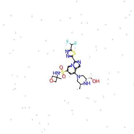 C[C@H]1CN(c2cc(S(=O)(=O)NC3(C)COC3)cn3c(-c4nnc(C(F)F)s4)ncc23)C[C@H](CO)N1